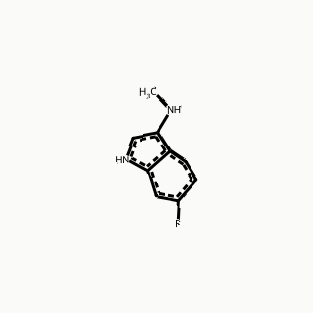 CNc1c[nH]c2cc(F)ccc12